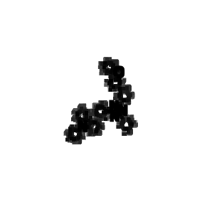 c1ccc(-c2nc(-c3cccc(-c4ccc5c(c4)oc4ccccc45)c3)nc(-c3cccc(-c4cccc5c4c4ccccc4n5-c4ccccc4)c3)n2)cc1